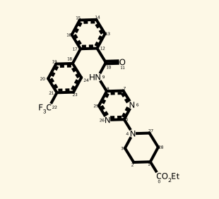 CCOC(=O)C1CCN(c2ncc(NC(=O)c3ccccc3-c3ccc(C(F)(F)F)cc3)cn2)CC1